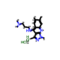 Cc1cc2nc3c(c(C)nn3C)c(NCCCN(C)C)c2cc1C.Cl.Cl